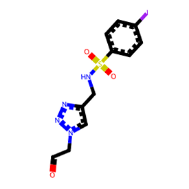 O=CCn1cc(CNS(=O)(=O)c2ccc(I)cc2)nn1